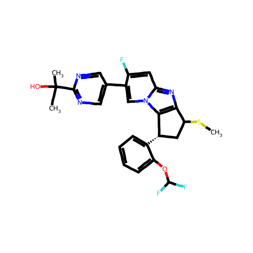 CSC1C[C@H](c2ccccc2OC(F)F)c2c1nc1cc(F)c(-c3cnc(C(C)(C)O)nc3)cn21